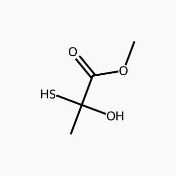 COC(=O)C(C)(O)S